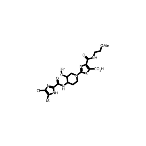 CCc1[nH]c(C(=O)NC2CCN(c3nc(C(=O)NCCOC)c(C(=O)O)s3)CC2OC(C)C)nc1Cl